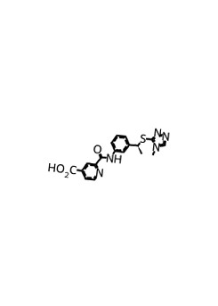 C[C@H](Sc1nncn1C)c1cccc(NC(=O)c2cc(C(=O)O)ccn2)c1